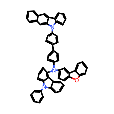 c1ccc(-n2c3ccccc3c3c(N(c4ccc(-c5ccc(-n6c7ccccc7c7cc8ccccc8cc76)cc5)cc4)c4ccc5oc6ccccc6c5c4)cccc32)cc1